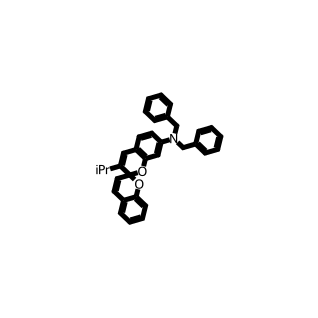 CC(C)C1=Cc2ccc(N(Cc3ccccc3)Cc3ccccc3)cc2OC12C=Cc1ccccc1O2